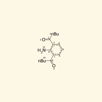 CCCCC(=O)c1cccc(C(=O)CCCC)c1N